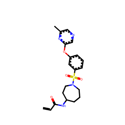 C=CC(=O)NC1CCCN(S(=O)(=O)c2cccc(Oc3cncc(C)n3)c2)CC1